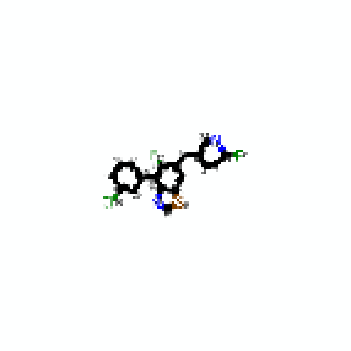 Fc1ccc(Cc2cc3scnc3c(-c3cccc(Cl)c3)c2F)cn1